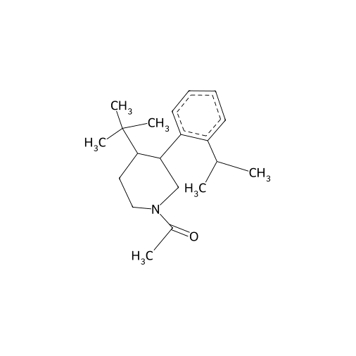 CC(=O)N1CCC(C(C)(C)C)C(c2ccccc2C(C)C)C1